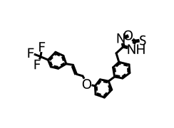 FC(F)(F)c1ccc(/C=C/COc2cccc(-c3cccc(Cc4noc(=S)[nH]4)c3)c2)cc1